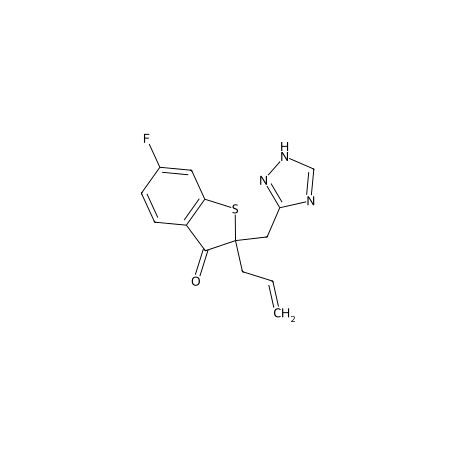 C=CCC1(Cc2nc[nH]n2)Sc2cc(F)ccc2C1=O